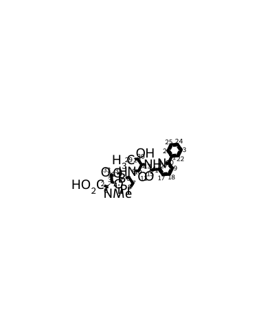 CNC(C(=O)O)[C@H]1OB(C(CC(C)C)NC(=O)C(NC(=O)c2cccc(-c3ccccc3)n2)C(C)O)OC1=O